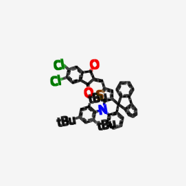 CC(C)(C)c1cc(C(C)(C)C)c(N2c3ccccc3C3(c4ccccc4-c4ccccc43)c3cc(C=C4C(=O)c5cc(Cl)c(Cl)cc5C4=O)sc32)c(C(C)(C)C)c1